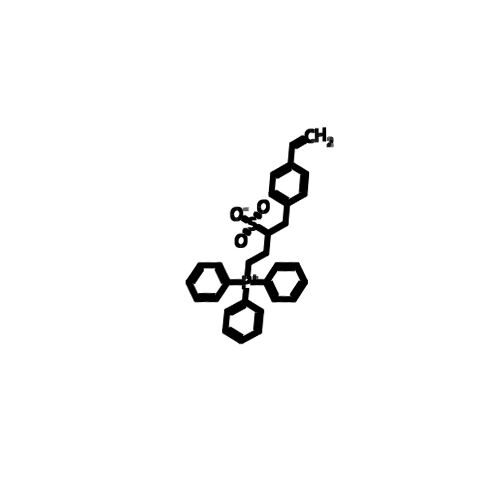 C=Cc1ccc(CC(CC[P+](c2ccccc2)(c2ccccc2)c2ccccc2)S(=O)(=O)[O-])cc1